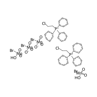 ClCC[P+](c1ccccc1)(c1ccccc1)c1ccccc1.ClCC[P+](c1ccccc1)(c1ccccc1)c1ccccc1.[O]=[Mn](=[O])([O-])[Br].[O]=[Mn](=[O])([O-])[Br].[O]=[Mn](=[O])([OH])[Br].[O]=[Mn](=[O])([OH])[Br]